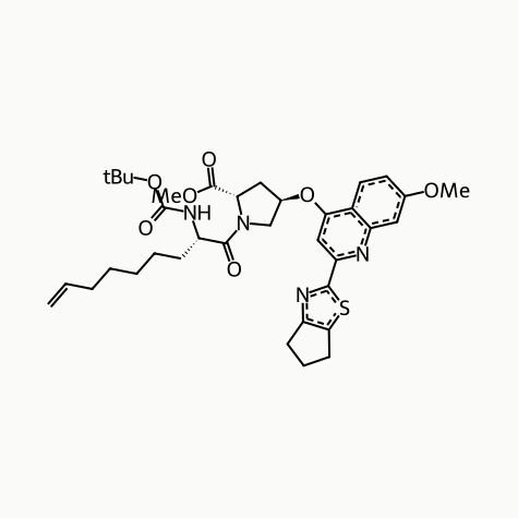 C=CCCCCC[C@H](NC(=O)OC(C)(C)C)C(=O)N1C[C@H](Oc2cc(-c3nc4c(s3)CCC4)nc3cc(OC)ccc23)C[C@H]1C(=O)OC